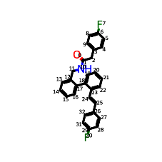 O=C(Cc1ccc(F)cc1)NCc1ccccc1-c1ccccc1C=Cc1ccc(F)cc1